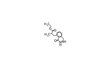 CCOC(=O)C(C)Cc1cccc2c1C(=O)NNC2